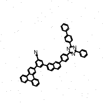 N#Cc1cc(-c2ccc3ccc(-c4ccc(-c5nc(-c6ccccc6)nc(-c6ccc(-c7ccccc7)cc6)n5)cc4)cc3c2)cc(-c2ccc3c4ccccc4c4ccccc4c3c2)c1